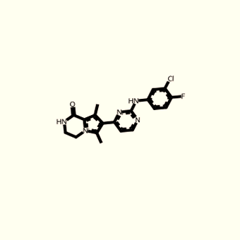 Cc1c(-c2ccnc(Nc3ccc(F)c(Cl)c3)n2)c(C)n2c1C(=O)NCC2